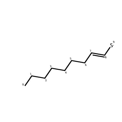 CCCCCCCC=C[S]